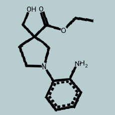 CCOC(=O)C1(CO)CCN(c2ccccc2N)C1